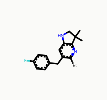 CCc1nc2c(cc1Cc1ccc(F)cc1)NCC2(C)C